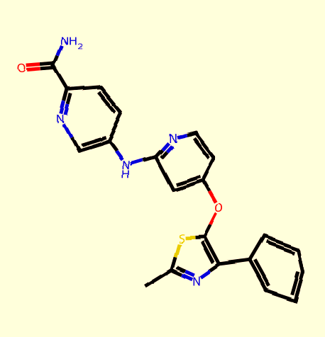 Cc1nc(-c2ccccc2)c(Oc2ccnc(Nc3ccc(C(N)=O)nc3)c2)s1